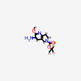 COc1nc2c(cc1N)CN(C(=O)OC(C)(C)C)CC2